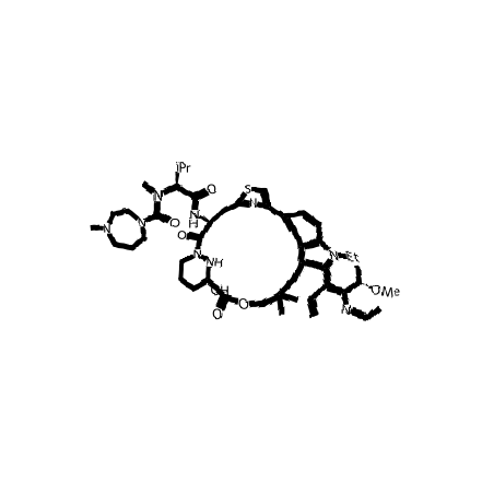 C=C/C(=C(\N=C/C)[C@H](C)OC)c1c2c3cc(ccc3n1CC)-c1csc(n1)C[C@H](NC(=O)[C@H](C(C)C)N(C)C(=O)N1CCCN(C)CC1)C(=O)N1CCC[C@@](O)(N1)C(=O)OCC(C)(C)C2